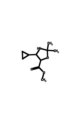 COC(=O)C1OC(C)(C)NC1C1CC1